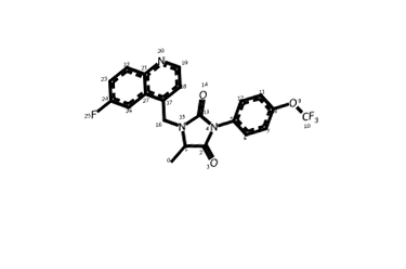 CC1C(=O)N(c2ccc(OC(F)(F)F)cc2)C(=O)N1Cc1ccnc2ccc(F)cc12